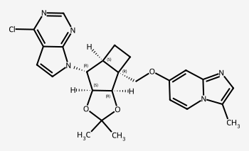 Cc1cnc2cc(OC[C@@]34CC[C@@H]3[C@@H](n3ccc5c(Cl)ncnc53)[C@@H]3OC(C)(C)O[C@@H]34)ccn12